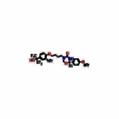 CCCOc1ccc(C2(CC)NC(=O)N(CCCCOc3ccc(C(O)(C(F)(F)F)C(F)(F)F)cc3CCC)CO2)cc1